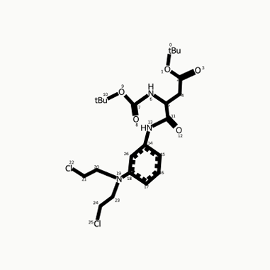 CC(C)(C)OC(=O)CC(NC(=O)OC(C)(C)C)C(=O)Nc1cccc(N(CCCl)CCCl)c1